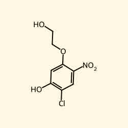 O=[N+]([O-])c1cc(Cl)c(O)cc1OCCO